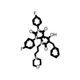 O=c1c2c(O)c(Cc3ccccc3)c(=O)n(CCCN3CCOCC3)c2n(-c2ccc(F)cc2)c(=O)n1-c1ccc(F)cc1